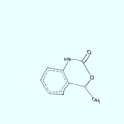 O=C1Nc2ccccc2C(O)O1